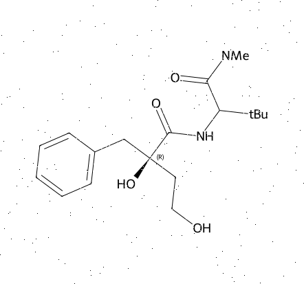 CNC(=O)C(NC(=O)[C@](O)(CCO)Cc1ccccc1)C(C)(C)C